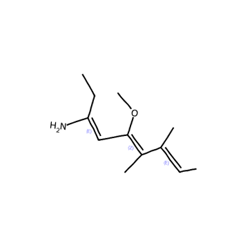 C/C=C(C)/C(C)=C(/C=C(/N)CC)OC